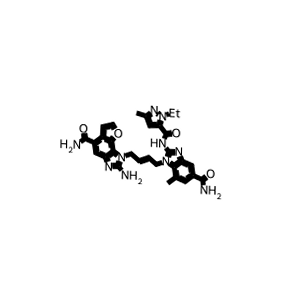 CCn1nc(C)cc1C(=O)Nc1nc2cc(C(N)=O)cc(C)c2n1CC=CCn1c(N)nc2cc(C(N)=O)c3ccoc3c21